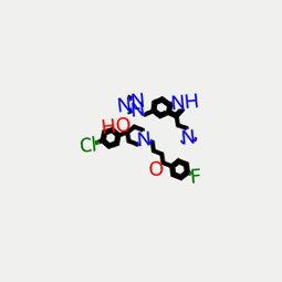 CN(C)CCc1c[nH]c2ccc(Cn3cncn3)cc12.O=C(CCCN1CCC(O)(c2ccc(Cl)cc2)CC1)c1ccc(F)cc1